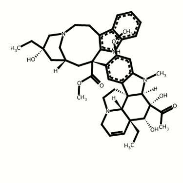 CC[C@]1(O)C[C@@H]2CN(CCc3c([nH]c4ccccc34)[C@@](C(=O)OC)(c3cc4c(cc3OC)N(C)[C@H]3[C@@](O)(C(C)=O)[C@H](O)[C@]5(CC)C=CCN6CC[C@]43[C@@H]65)C2)C1